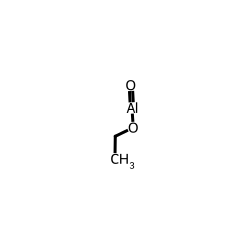 CC[O][Al]=[O]